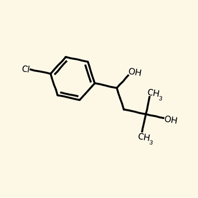 CC(C)(O)CC(O)c1ccc(Cl)cc1